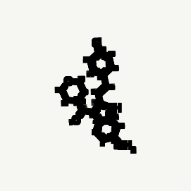 Bc1ccc2c(C(=O)N3CCOCC3)c(/C=C/c3ccc(Cl)cc3)[nH]c2c1